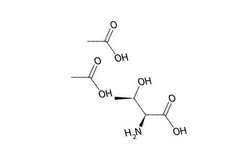 CC(=O)O.CC(=O)O.C[C@@H](O)[C@H](N)C(=O)O